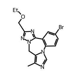 CCOCc1nc2n(n1)Cc1c(C)ncn1-c1ccc(Br)cc1-2